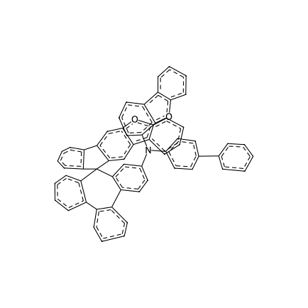 c1ccc(-c2ccc(N(c3ccc4c(c3)C3(c5ccccc5-c5ccccc5-4)c4ccccc4-c4cc5oc6ccccc6c5cc43)c3cccc4c3oc3ccccc34)cc2)cc1